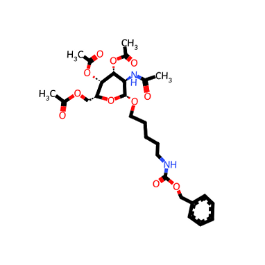 CC(=O)N[C@H]1[C@H](OCCCCCNC(=O)OCc2ccccc2)O[C@H](COC(C)=O)[C@H](OC(C)=O)[C@@H]1OC(C)=O